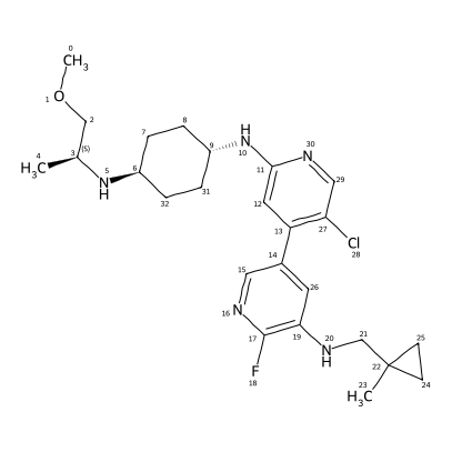 COC[C@H](C)N[C@H]1CC[C@H](Nc2cc(-c3cnc(F)c(NCC4(C)CC4)c3)c(Cl)cn2)CC1